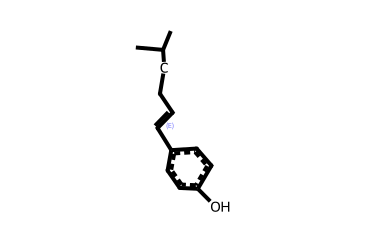 CC(C)CC/C=C/c1ccc(O)cc1